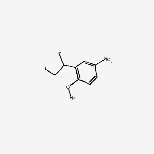 [CH2]C(CF)c1cc([N+](=O)[O-])ccc1OCCC